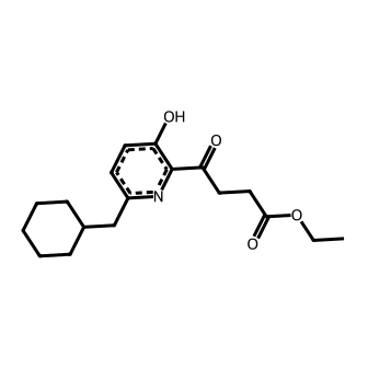 CCOC(=O)CCC(=O)c1nc(CC2CCCCC2)ccc1O